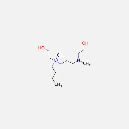 CCCC[N+](C)(CCO)CCCN(C)CCO